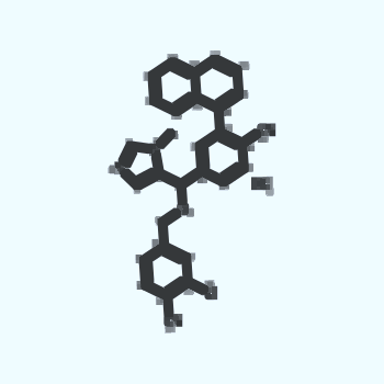 Cl.Cn1cncc1C(OCc1ccc(C#N)c(Cl)c1)c1ccc(C#N)c(-c2cccc3ccccc23)c1